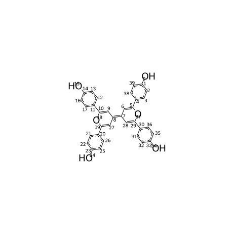 Oc1ccc(C2=CC(=C3C=C(c4ccc(O)cc4)OC(c4ccc(O)cc4)=C3)C=C(c3ccc(O)cc3)O2)cc1